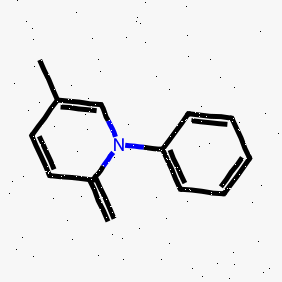 C=C1C=CC(C)=CN1c1ccccc1